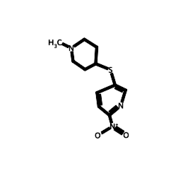 CN1CCC(Sc2ccc([N+](=O)[O-])nc2)CC1